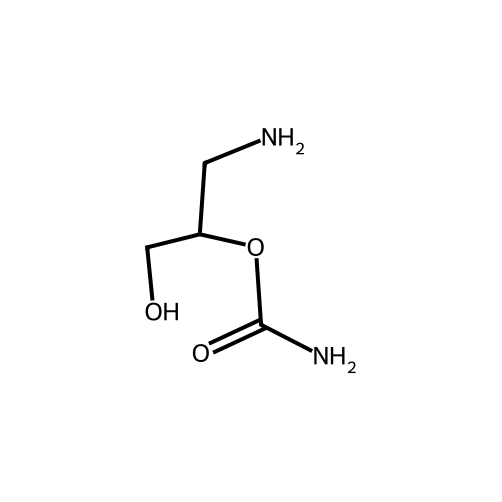 NCC(CO)OC(N)=O